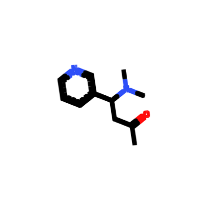 CC(=O)CC(c1cccnc1)N(C)C